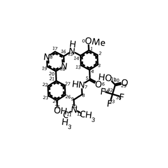 COc1ccc(C(=O)NCCN(C)C)cc1Nc1cncc(-c2ccc(O)cc2)n1.O=C(O)C(F)(F)F